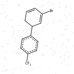 FC(F)(F)c1ccc(C2C=C(Br)C=CC2)cc1